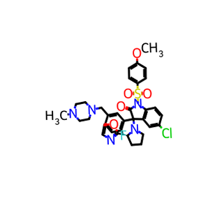 COc1ccc(S(=O)(=O)N2C(=O)C(c3cc(CN4CCN(C)CC4)ccc3F)(N3CCC[C@H]3c3ncco3)c3cc(Cl)ccc32)cc1